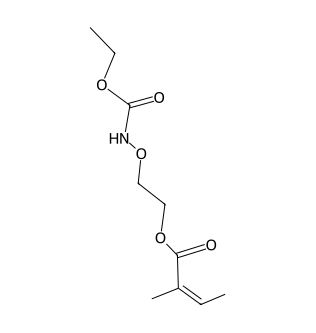 CC=C(C)C(=O)OCCONC(=O)OCC